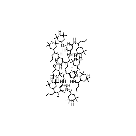 CCCC(NC1=NN(OC2CC(C)(C)NC(C)(C)C2)NC(NCCN(CCN(CCNC2=CC(NC(CCC)C3CC(C)(C)NC(C)(C)C3)=NN(OC3CC(C)(C)NC(C)(C)C3)N2)C2=CC(NC(CCC)C3CC(C)(C)NC(C)(C)C3)=NN(OC3CC(C)(C)NC(C)(C)C3)N2)C2=CC(NC(CCC)C3CC(C)(C)NC(C)(C)C3)=NN(OC3CC(C)(C)NC(C)(C)C3)N2)=C1)C1CC(C)(C)NC(C)(C)C1